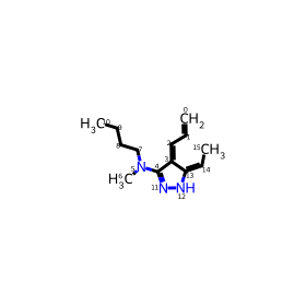 C=C/C=c1/c(N(C)CCCC)n[nH]/c1=C/C